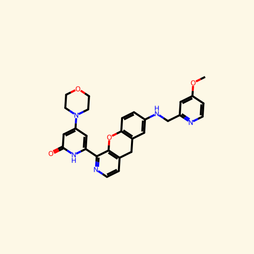 COc1ccnc(CNc2ccc3c(c2)Cc2ccnc(-c4cc(N5CCOCC5)cc(=O)[nH]4)c2O3)c1